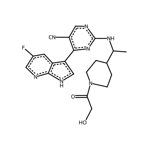 [C-]#[N+]c1cnc(NC(C)C2CCN(C(=O)CO)CC2)nc1-c1c[nH]c2ncc(F)cc12